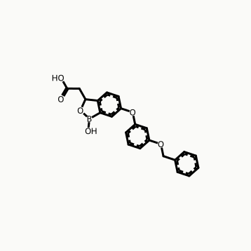 O=C(O)CC1OB(O)c2cc(Oc3cccc(OCc4ccccc4)c3)ccc21